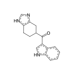 O=C(c1c[nH]c2ccccc12)C1CCc2[nH]cnc2C1